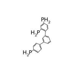 Pc1ccc(-c2cccc(-c3ccc(P)cc3P)c2)cc1